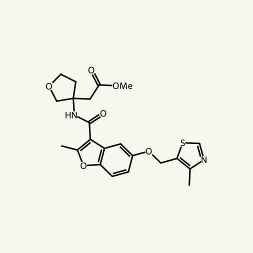 COC(=O)CC1(NC(=O)c2c(C)oc3ccc(OCc4scnc4C)cc23)CCOC1